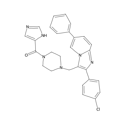 O=C(c1cnc[nH]1)N1CCN(Cc2c(-c3ccc(Cl)cc3)nc3ccc(-c4ccccc4)cn23)CC1